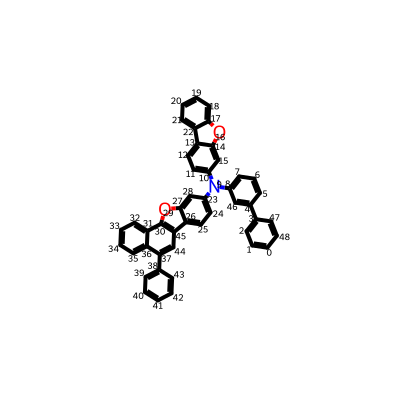 c1ccc(-c2cccc(N(c3ccc4c(c3)oc3ccccc34)c3ccc4c(c3)oc3c5ccccc5c(-c5ccccc5)cc43)c2)cc1